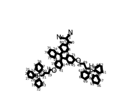 CC(=C(C#N)C#N)c1ccc(C(=C(c2ccc(OCCCC[PH](c3ccccc3)(c3ccccc3)c3ccccc3)cc2)c2ccc(OCCCC[PH](c3ccccc3)(c3ccccc3)c3ccccc3)cc2)c2ccccc2)cc1